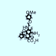 COc1ccc(OCCNc2c(F)c(N)c3c(=O)c(C(=O)O)cn4c3c2OCC42CCCC2)cc1